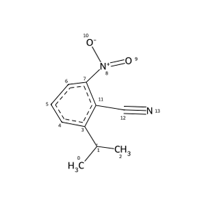 C[C](C)c1cccc([N+](=O)[O-])c1C#N